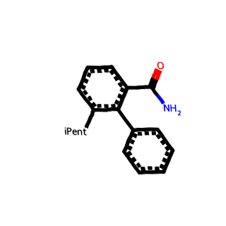 CCCC(C)c1cccc(C(N)=O)c1-c1ccccc1